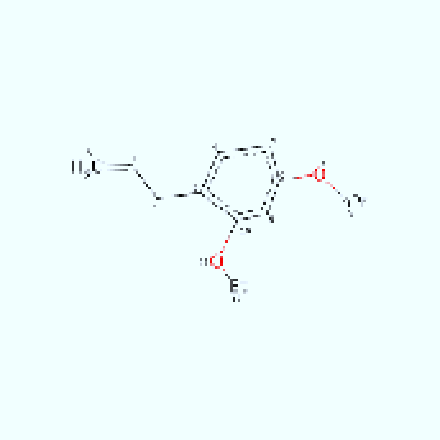 C=CCc1ccc(OCCC)cc1OCC